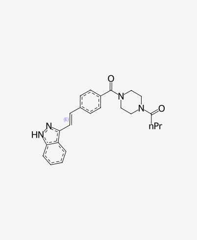 CCCC(=O)N1CCN(C(=O)c2ccc(/C=C/c3n[nH]c4ccccc34)cc2)CC1